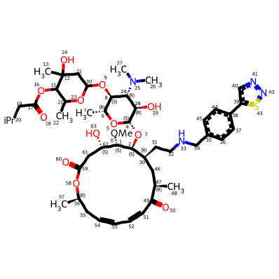 CO[C@@H]1[C@@H](O[C@@H]2O[C@H](C)[C@@H](OC3CC(C)(O)C(OC(=O)CC(C)C)C(C)O3)[C@H](N(C)C)[C@H]2O)[C@@H](CCNCc2ccc(-c3cnns3)cc2)C[C@@H](C)C(=O)C=CC=CC[C@@H](C)OC(=O)C[C@@H]1O